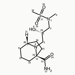 CN(C[C@@H](O)CN1[C@@H]2C[CH]C[C@@]1(C(N)=O)CC2)S(C)(=O)=O